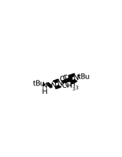 CC(C)(C)NCCN1CCN(C(C)(C)C(C)(C)C2CCN(C(C)(C)C)CC2)CC1